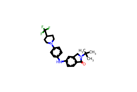 CC(C)(C)N1Cc2cc(Nc3ccc(N4CCC(C(F)(F)F)CC4)cc3)ccc2C1=O